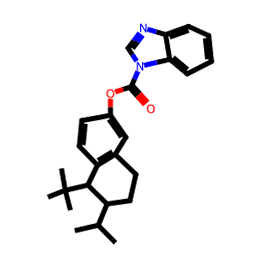 CC(C)C1CCc2cc(OC(=O)n3cnc4ccccc43)ccc2C1C(C)(C)C